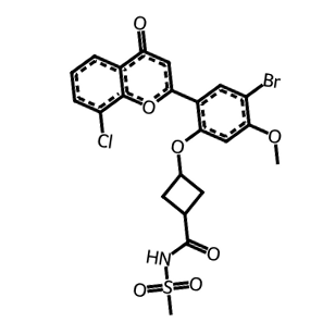 COc1cc(OC2CC(C(=O)NS(C)(=O)=O)C2)c(-c2cc(=O)c3cccc(Cl)c3o2)cc1Br